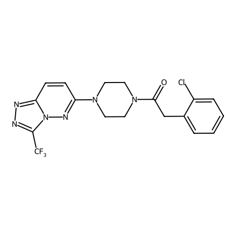 O=C(Cc1ccccc1Cl)N1CCN(c2ccc3nnc(C(F)(F)F)n3n2)CC1